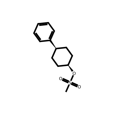 CS(=O)(=O)O[C@H]1CC[C@@H](c2ccccc2)CC1